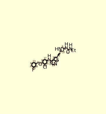 CCNC(=O)N[C@@H]1CN[C@@H](C#Cc2cc3c(Nc4ccc(OCc5cccc(F)c5)c(Cl)c4)ncnc3s2)C1